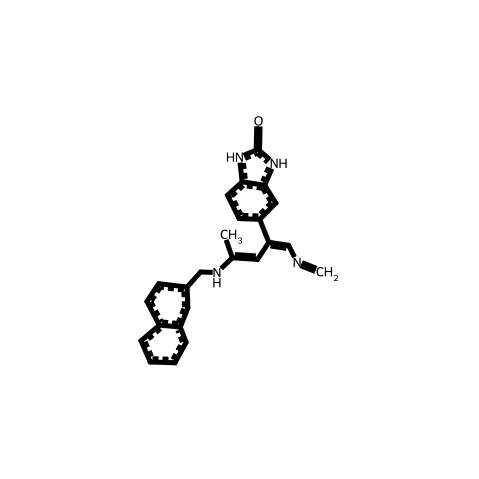 C=N/C=C(\C=C(/C)NCc1ccc2ccccc2c1)c1ccc2[nH]c(=O)[nH]c2c1